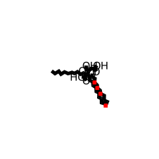 CCCCCCCCCCCOC(CC(=O)O)(C(=O)O)C(CCCCCCCCCCC)(CCCCCCCCCCC)C(=O)O